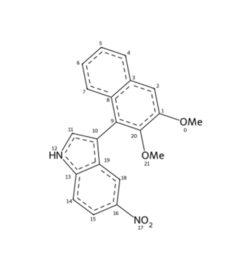 COc1cc2ccccc2c(-c2c[nH]c3ccc([N+](=O)[O-])cc23)c1OC